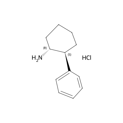 Cl.N[C@@H]1CCCC[C@H]1c1ccccc1